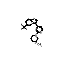 C[C@H]1CCCN(c2nccc(-c3cnc4ccc(C(F)(F)F)cn34)n2)C1